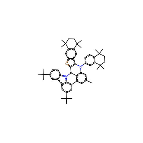 Cc1cc2c3c(c1)N(c1ccc4c(c1)C(C)(C)CCC4(C)C)c1c(sc4cc5c(cc14)C(C)(C)CCC5(C)C)B3n1c3ccc(C(C)(C)C)cc3c3cc(C(C)(C)C)cc-2c31